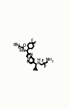 CC(C)(C)OC(=O)N[C@H](c1cn2ncc([C@H](NCC(F)(F)CN)C3CC3)cc2n1)C1CCC(F)(F)CC1